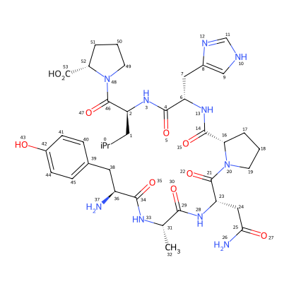 CC(C)C[C@H](NC(=O)[C@H](Cc1c[nH]cn1)NC(=O)[C@@H]1CCCN1C(=O)[C@H](CC(N)=O)NC(=O)[C@H](C)NC(=O)[C@@H](N)Cc1ccc(O)cc1)C(=O)N1CCC[C@H]1C(=O)O